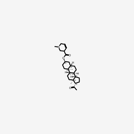 CC(=O)[C@H]1CC[C@H]2[C@@H]3CC[C@H]4C[C@H](OC(=O)C5C=CCN(C)C5)CC[C@]4(C)[C@H]3CC[C@]12C